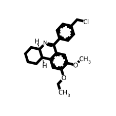 CCOc1cc2c(cc1OC)C(c1ccc(CCl)cc1)=N[C@@H]1CCCC[C@H]21